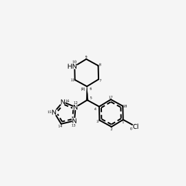 Clc1ccc(C([C@@H]2CCCNC2)n2ncnn2)cc1